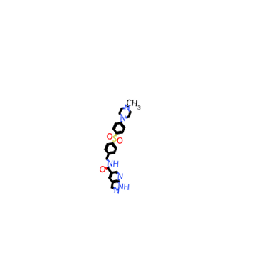 CN1CCN(c2ccc(S(=O)(=O)c3ccc(CNC(=O)c4cnc5[nH]ncc5c4)cc3)cc2)CC1